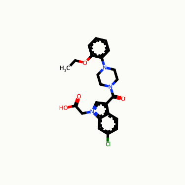 CCOc1ccccc1N1CCN(C(=O)c2cn(CC(=O)O)c3cc(Cl)ccc23)CC1